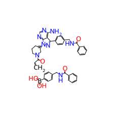 C=CC(=O)N1CCC[C@@H](n2nc(-c3ccc(CNC(=O)c4ccccc4)cc3)c3c(N)ncnc32)C1.O=C(NCc1ccc(B(O)O)cc1)c1ccccc1